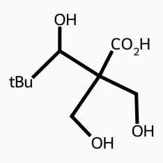 CC(C)(C)C(O)C(CO)(CO)C(=O)O